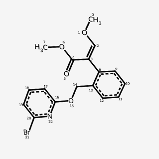 COC=C(C(=O)OC)c1ccccc1COc1cccc(Br)n1